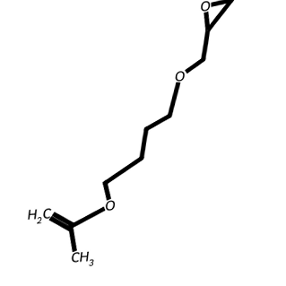 C=C(C)OCCCCOCC1CO1